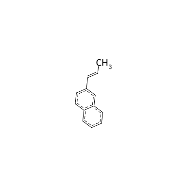 CC=Cc1ccc2ccccc2c1